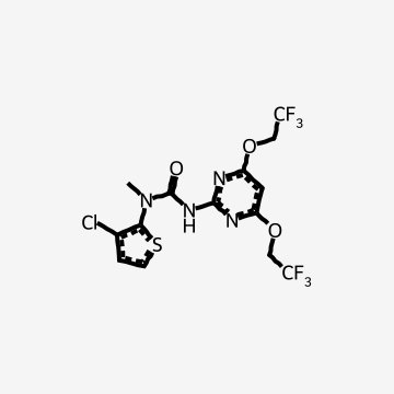 CN(C(=O)Nc1nc(OCC(F)(F)F)cc(OCC(F)(F)F)n1)c1sccc1Cl